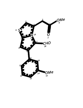 COC(=O)Cc1csc2cc(-c3cccc(OC)c3)c(C=O)n12